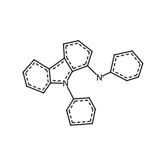 c1ccc([N]c2cccc3c4ccccc4n(-c4ccccc4)c23)cc1